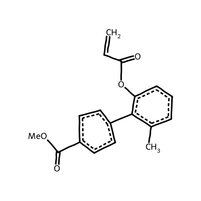 C=CC(=O)Oc1cccc(C)c1-c1ccc(C(=O)OC)cc1